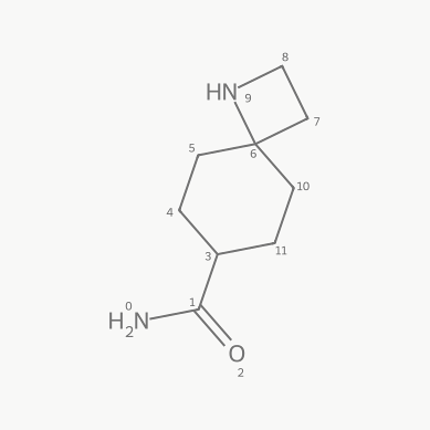 NC(=O)C1CCC2(CCN2)CC1